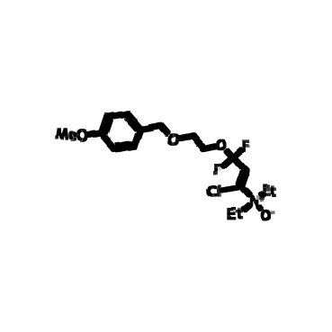 CC[N+]([O-])(CC)/C(Cl)=C/C(F)(F)OCCOCc1ccc(OC)cc1